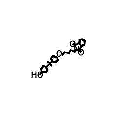 CC(C)(c1ccc(O)cc1)c1ccc(OCCCCCN2C(=O)c3ccccc3C2=O)cc1